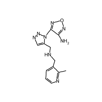 Cc1ncccc1CNCc1cnnn1-c1nonc1N